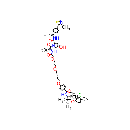 Cc1ncsc1-c1ccc([C@H](C)NC(=O)[C@@H]2C[C@@H](O)CN2C(=O)[C@@H](NC(=O)COCCCOCCCCCOc2ccc(C(=O)N[C@H]3C(C)(C)[C@H](Oc4ccc(C#N)c(Cl)c4)C3(C)C)cc2)C(C)(C)C)cc1